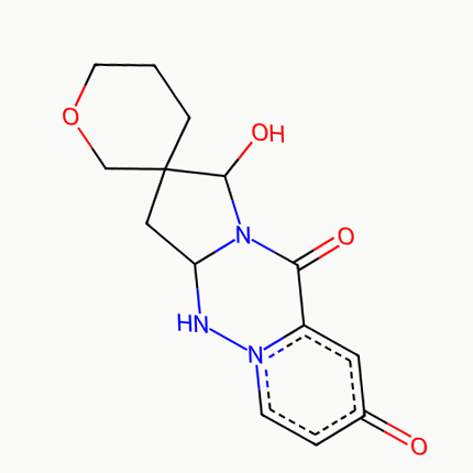 O=C1c2cc(=O)ccn2NC2CC3(CCCOC3)C(O)N12